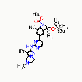 CC(C)c1c(Nc2nccc(-c3cc(C#N)c4c(c3)[C@@](C)(CO[Si](C)(C)C(C)(C)C)CN4C(=O)OC(C)(C)C)n2)nn2c1CN(C)CC2